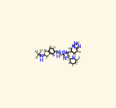 Cc1cccc(-c2nc(CNc3ccc4c(c3)CC(NC(C)(C)C)C4)[nH]c2-c2ccc3ncnn3c2)n1